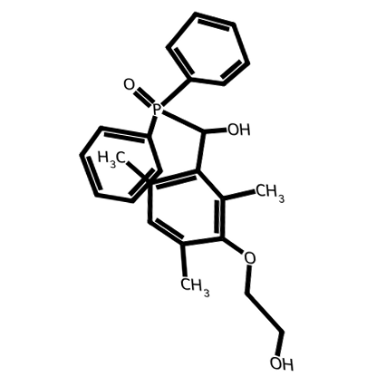 Cc1cc(C)c(C(O)P(=O)(c2ccccc2)c2ccccc2)c(C)c1OCCO